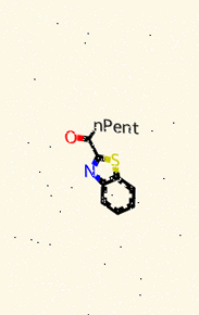 CCCCCC(=O)c1nc2ccccc2s1